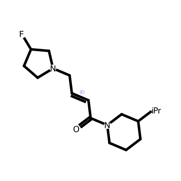 CC(C)C1CCCN(C(=O)/C=C/CN2CCC(F)C2)C1